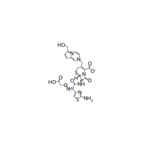 Nc1nc(/C(=N/OCC(=O)O)C(=O)N[C@@H]2C(=O)N3C(C(=O)[O-])=C(Cn4cc[n+]5c(CO)ccc-5c4)CS[C@H]23)cs1